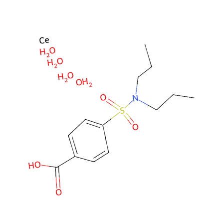 CCCN(CCC)S(=O)(=O)c1ccc(C(=O)O)cc1.O.O.O.O.[Ce]